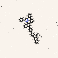 CC1(C)c2cc(-c3ccc(-c4ccc(-c5nc(-c6ccccc6)cc(-c6ccccc6-c6ccccc6)n5)c5ccccc45)cc3)ccc2-c2cc3ccccc3cc21